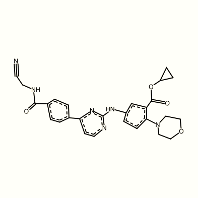 N#CCNC(=O)c1ccc(-c2ccnc(Nc3ccc(N4CCOCC4)c(C(=O)OC4CC4)c3)n2)cc1